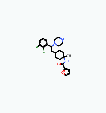 CC1(NC(=O)c2ccco2)CCC(CC(c2cccc(Cl)c2Cl)N2CCNCC2)CC1